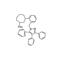 CC(=O)OC1CCCCC(c2ccccc2Cn2nc(-c3ccccc3)c(-c3ccccc3)c2-c2ccccc2)C1